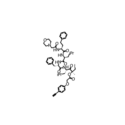 C#Cc1ccc(OCC(=O)O[C@](C)(CI)C(=O)[C@H](CC(C)C)NC(=O)[C@H](Cc2ccccc2)NC(=O)[C@H](CC(C)C)NC(=O)[C@H](CCc2ccccc2)NC(=O)CN2CCOCC2)cc1